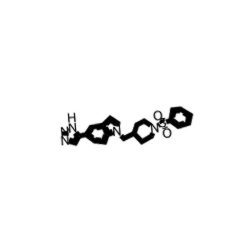 O=S(=O)(c1ccccc1)N1CCC(Cn2ccc3cc(-c4cnn[nH]4)ccc32)CC1